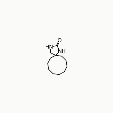 O=C1NCC2(CCCCCCCCC2)N1